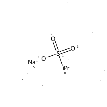 CC(C)S(=O)(=O)[O-].[Na+]